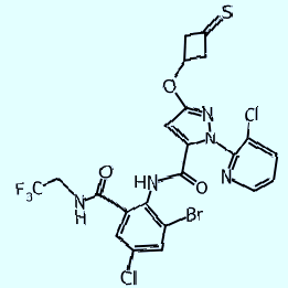 O=C(NCC(F)(F)F)c1cc(Cl)cc(Br)c1NC(=O)c1cc(OC2CC(=S)C2)nn1-c1ncccc1Cl